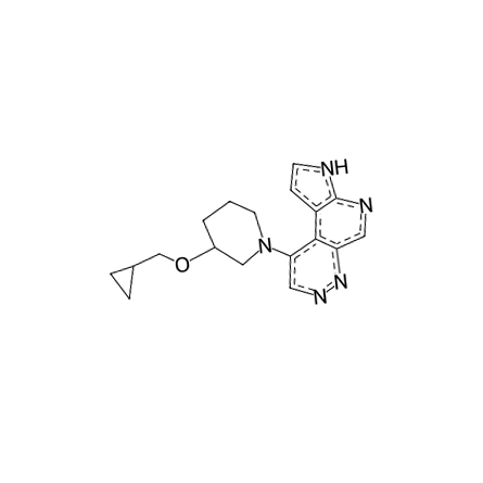 c1cc2c(ncc3nncc(N4CCCC(OCC5CC5)C4)c32)[nH]1